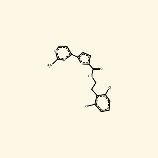 Nc1nccc(-c2ccc(C(=O)NCCc3c(Cl)cccc3Cl)s2)n1